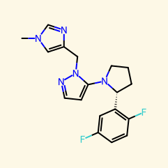 Cn1cnc(Cn2nccc2N2CCC[C@@H]2c2cc(F)ccc2F)c1